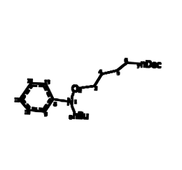 [CH2]CCCN(OCCCCCCCCCCCCCC)c1ccccc1